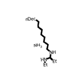 CCCCCCCCCCCCCCCCCCNC(CC)NCC.N